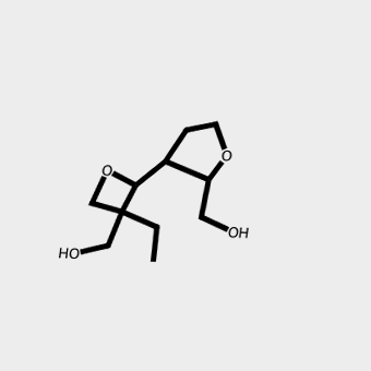 CCC1(CO)COC1C1CCOC1CO